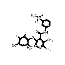 Cc1cc(C#N)c(F)c(F)c1Oc1nnc(C(F)(F)F)c(C)c1C(=O)Nc1cccc(S(C)(=O)=O)c1